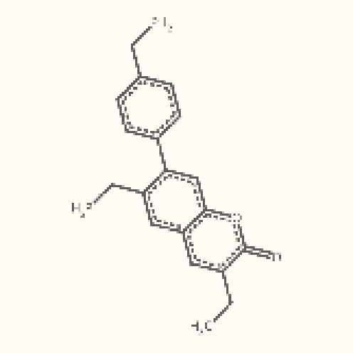 CCc1cc2cc(CP)c(-c3ccc(CP)cc3)cc2oc1=O